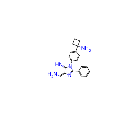 N=C1/C(=C\N)N=C(c2ccccc2)N1c1ccc(C2(N)CCC2)cc1